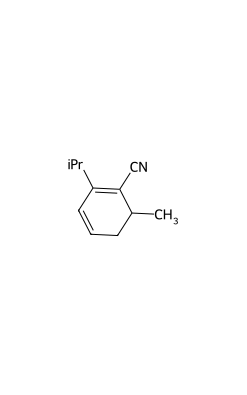 CC(C)C1=C(C#N)C(C)CC=C1